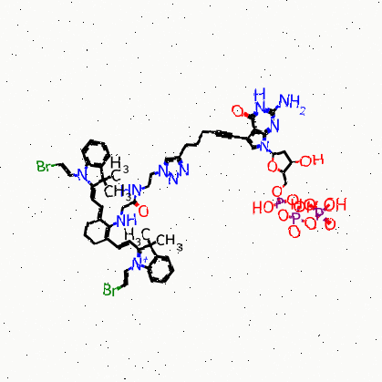 CC1(C)C(/C=C/C2=C(NCC(=O)NCCn3cc(CCCC#Cc4cn([C@H]5C[C@@H](O)C(COP(=O)(O)OP(=O)(O)OP(=O)(O)O)O5)c5nc(N)[nH]c(=O)c45)nn3)C(=C/C=C3/N(/C=C/Br)c4ccccc4C3(C)C)/CCC2)=[N+](/C=C/Br)c2ccccc21